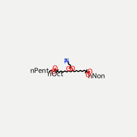 CCCCCCCCCOC(=O)C(C)(C)CCCCCCC(CCCCCCCC(C)(C)C(=O)OCC(CCCCC)CCCCCCCC)OC(=O)CCCN(C)C